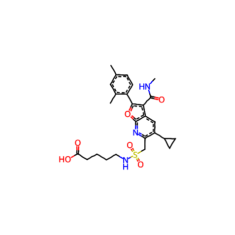 CNC(=O)c1c(-c2ccc(C)cc2C)oc2nc(CS(=O)(=O)NCCCCC(=O)O)c(C3CC3)cc12